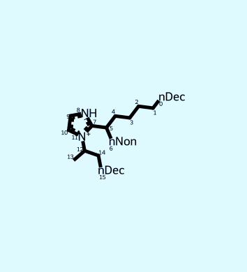 CCCCCCCCCCCCCCC(CCCCCCCCC)c1[nH]cc[n+]1C(C)CCCCCCCCCCC